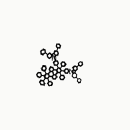 C1=C(c2ccccc2)CCc2c1c1cc(-c3ccccc3)ccc1n2-c1ccc(-c2c(-c3ccccc3)c(-c3ccc(-n4c5ccc(-c6ccccc6)cc5c5cc(-c6ccccc6)ccc54)cc3)c3c4cccc5c6c(-c7ccccc7)c(-c7ccccc7)c(-c7ccccc7)c(-c7ccccc7)c6c6cccc(c3c2-c2ccccc2)c6c54)cc1